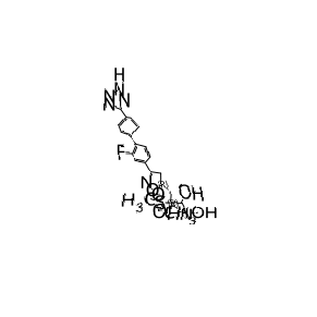 C[C@@](C[C@H]1CC(c2ccc(-c3ccc(-c4nn[nH]n4)cc3)c(F)c2)=NO1)(C(O)NO)S(C)(=O)=O